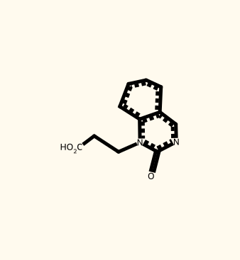 O=C(O)CCn1c(=O)ncc2ccccc21